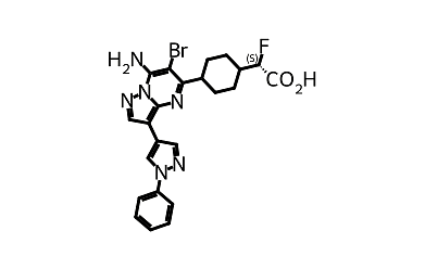 Nc1c(Br)c(C2CCC([C@H](F)C(=O)O)CC2)nc2c(-c3cnn(-c4ccccc4)c3)cnn12